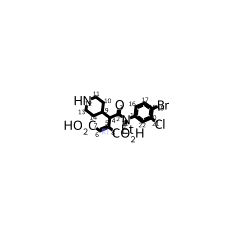 CCN(C(=O)C(/C(=C\C(=O)O)C(=O)O)C1CCNCC1)c1ccc(Br)c(Cl)c1